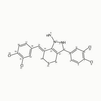 CCCN1NC(c2ccc(Cl)c(Cl)c2)C2=C1C(=Cc1ccc(Cl)c(Cl)c1)CSC2